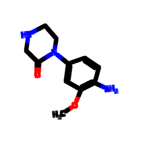 COc1cc(N2CCNCC2=O)ccc1N